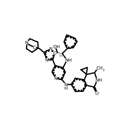 CC1NC(=O)c2ccc(Nc3cc(N[C@H](CO)c4ccccc4)c(-c4nc(C56CCN(CC5)CC6)no4)cn3)cc2C12CC2